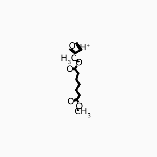 COC(=O)CCCCCC(=O)OC.[H+].c1ccoc1